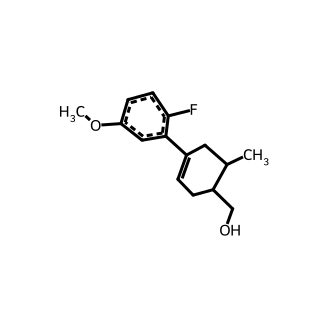 COc1ccc(F)c(C2=CCC(CO)C(C)C2)c1